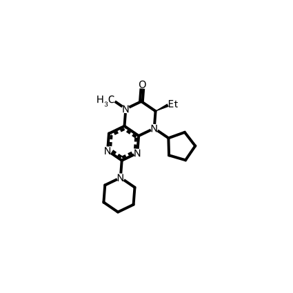 CC[C@@H]1C(=O)N(C)c2cnc(N3CCCCC3)nc2N1C1CCCC1